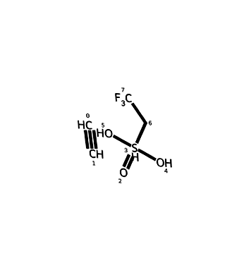 C#C.O=[SH](O)(O)CC(F)(F)F